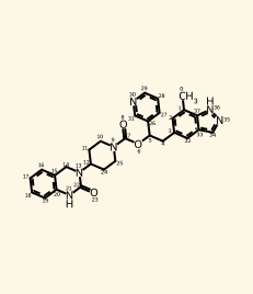 Cc1cc(CC(OC(=O)N2CCC(N3Cc4ccccc4NC3=O)CC2)c2cccnc2)cc2cn[nH]c12